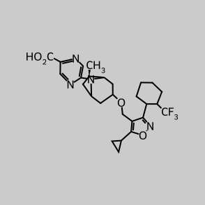 C[C@@H]1CC2CC(OCc3c(C4CCCCC4C(F)(F)F)noc3C3CC3)CC1N2c1cnc(C(=O)O)cn1